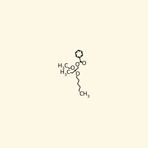 CCCCCCOC(CC)(COC(=O)c1ccccc1)OCC